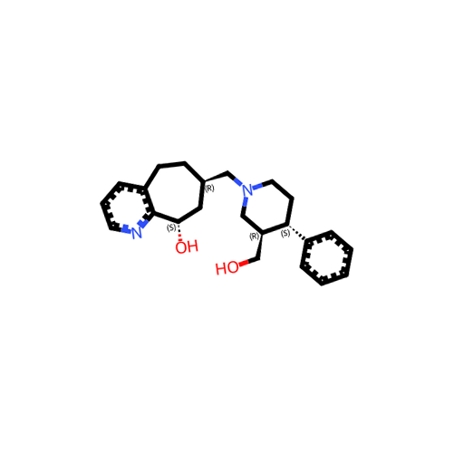 OC[C@H]1CN(C[C@@H]2CCc3cccnc3[C@@H](O)C2)CC[C@@H]1c1ccccc1